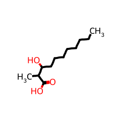 CCCCCCCCC(O)C(C)C(=O)O